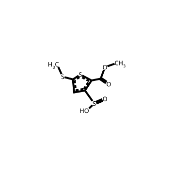 COC(=O)c1sc(SC)cc1S(=O)O